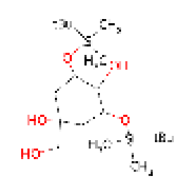 CC(C)(C)[Si](C)(C)OC1CC(O)(CO)CC(O[Si](C)(C)C(C)(C)C)C1O